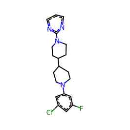 Fc1cc(Cl)cc(N2CCC(C3CCN(c4ncccn4)CC3)CC2)c1